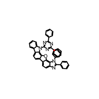 c1ccc(-c2nc(-c3ccccc3)nc(-n3c4ccccc4c4ccc5c6ccc7nc(-c8ccccc8)n(-c8ccccc8)c7c6oc5c43)n2)cc1